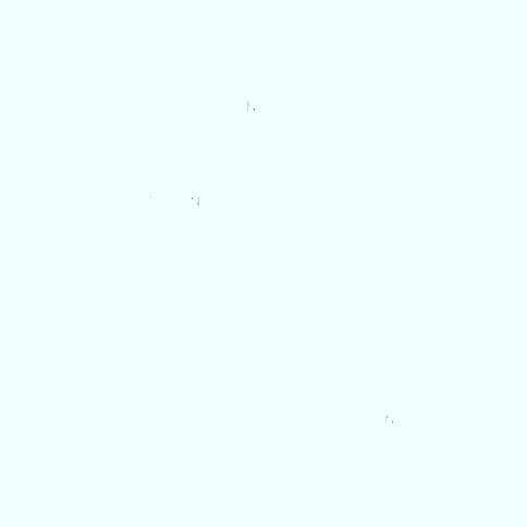 Cn1c2ccc(-c3ccc(C#N)cc3)cc2c2ccncc21